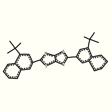 CC(C)(C)c1cc(-c2nc3sc(-c4cc(C(C)(C)C)c5ccccc5c4)nc3s2)cc2ccccc12